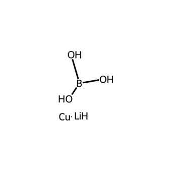 OB(O)O.[Cu].[LiH]